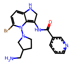 NCC1CCN(N2C(Br)=CC=C3NCC(NC(=O)c4cccnc4)=C32)C1